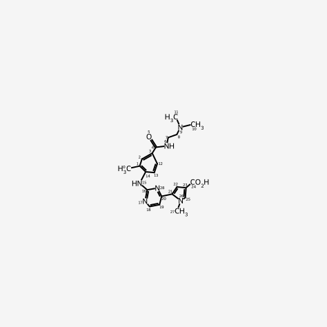 Cc1cc(C(=O)NCCN(C)C)ccc1Nc1nccc(-c2cc(C(=O)O)cn2C)n1